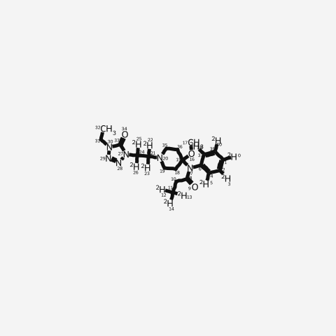 [2H]c1c([2H])c([2H])c(N(C(=O)CC([2H])([2H])[2H])C2(OC)CCN(C([2H])([2H])C([2H])([2H])n3nnn(CC)c3=O)CC2)c([2H])c1[2H]